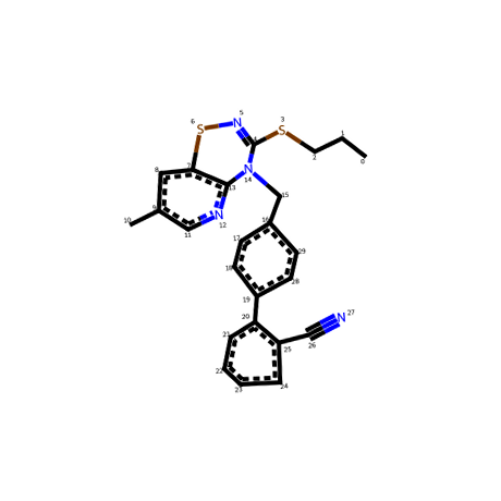 CCCSC1=NSc2cc(C)cnc2N1Cc1ccc(-c2ccccc2C#N)cc1